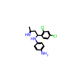 CC(=N)CC(Nc1ccc(N)cc1)c1ccc(Cl)cc1Cl